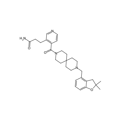 CC1(C)Cc2c(CN3CCC4(CC3)CCN(C(=O)c3ccncc3CCC(N)=O)CC4)cccc2O1